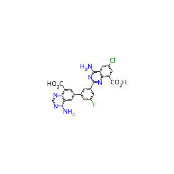 Nc1ncnc2c(C(=O)O)cc(-c3cc(F)cc(-c4nc(N)c5cc(Cl)cc(C(=O)O)c5n4)c3)cc12